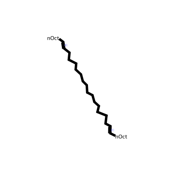 CCCCCCCC/C=C/CCCCCCCCCCCCCC/C=C/CCCCCCCC